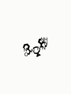 O=CC(c1ccccn1)N1CCN(c2ncnc3[nH]ccc23)CC2(CC2)C1